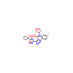 CC(CO)n1c(=O)c2c(-c3noc(C4(O)CCCC4)n3)ncn2c2ccc(F)cc21